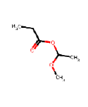 CCC(=O)OC(C)OC